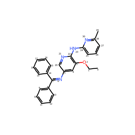 CCOc1cc(N=C(c2ccccc2)c2ccccc2)cnc1Nc1cccc(C)n1